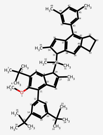 COc1c(C(C)(C)C)cc2c(c1-c1cc(C(C)(C)C)cc(C(C)(C)C)c1)C=C(C)C2[Si](C)(C)C1C(C)=Cc2c1cc1c(c2-c2cc(C)cc(C)c2)CCC1